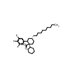 CCCCCCCCCC[C@@H]1CC[C@@](C(=O)O)(C2CCCCC2)C(c2cc(F)c(F)c(F)c2)C1